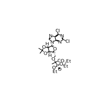 CCOC(=O)C(C)(OC[C@H]1O[C@@H](n2cnc3c(Cl)nc(Cl)nc32)[C@@H]2OC(C)(C)O[C@@H]21)P(=O)(OCC)OCC